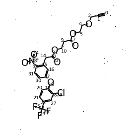 C#CCOCCOC(=O)CCOC(=O)Cc1cc(Oc2ccc(C(F)(F)F)cc2Cl)ccc1[N+](=O)[O-]